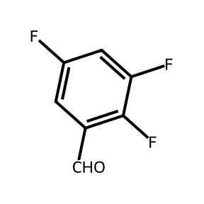 O=Cc1cc(F)cc(F)c1F